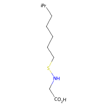 CC(C)CCCCCSNCC(=O)O